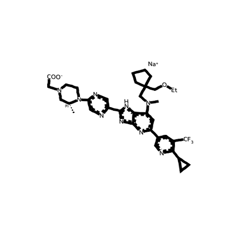 CCOCC1(CN(C)c2cc(-c3cnc(C4CC4)c(C(F)(F)F)c3)nc3nc(-c4cnc(N5CCN(CC(=O)[O-])C[C@H]5C)cn4)[nH]c23)CCCC1.[Na+]